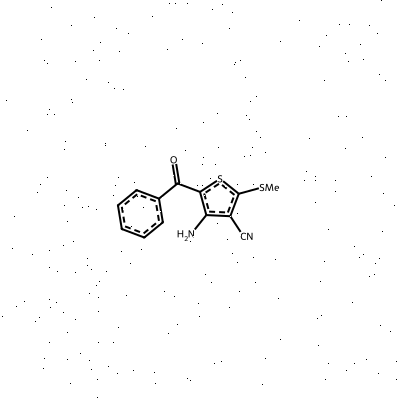 CSc1sc(C(=O)c2ccccc2)c(N)c1C#N